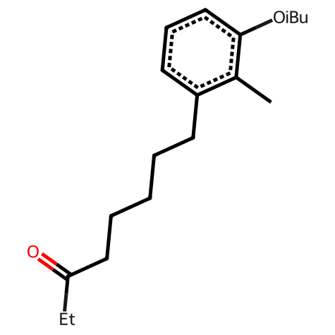 CCC(=O)CCCCCc1cccc(OCC(C)C)c1C